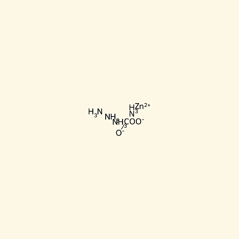 N.N.N.N.O=C([O-])[O-].[Zn+2]